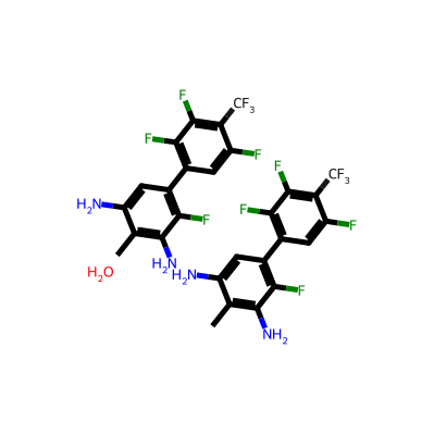 Cc1c(N)cc(-c2cc(F)c(C(F)(F)F)c(F)c2F)c(F)c1N.Cc1c(N)cc(-c2cc(F)c(C(F)(F)F)c(F)c2F)c(F)c1N.O